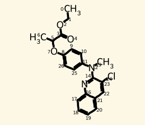 CCOC(=O)C(C)Oc1ccc(N(C)c2nc3ccccc3cc2Cl)cc1